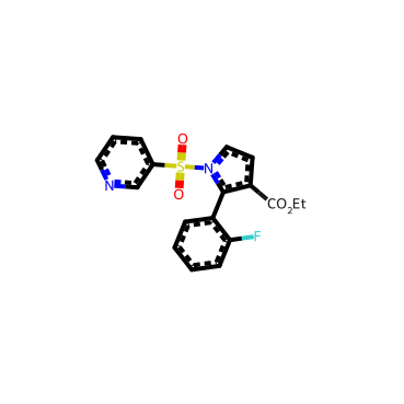 CCOC(=O)c1ccn(S(=O)(=O)c2cccnc2)c1-c1ccccc1F